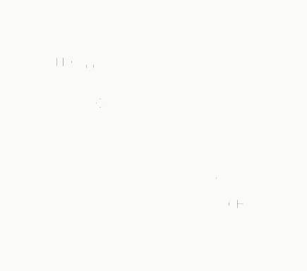 CCOc1ccc(-c2ccc(-c3ccc(OCCOC)cc3)cc2)cc1